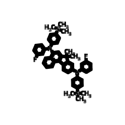 CC1(C)c2cc(N(c3ccc([Si](C)(C)C)cc3)c3cccc(F)c3)ccc2-c2c1cc(N(c1ccc([Si](C)(C)C)cc1)c1cccc(F)c1)c1ccccc21